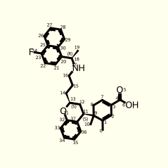 CC1=CC(C(=O)O)=CCC1(C)[C@@H]1C[C@H](CCCN[C@H](C)c2ccc(F)c3ccccc23)Oc2ccccc21